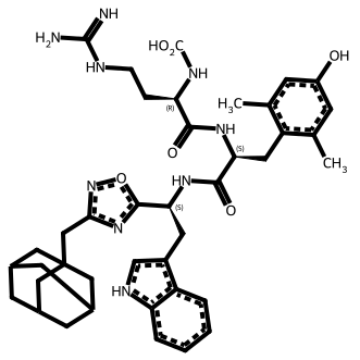 Cc1cc(O)cc(C)c1C[C@H](NC(=O)[C@@H](CCNC(=N)N)NC(=O)O)C(=O)N[C@@H](Cc1c[nH]c2ccccc12)c1nc(CC23CC4CC(CC(C4)C2)C3)no1